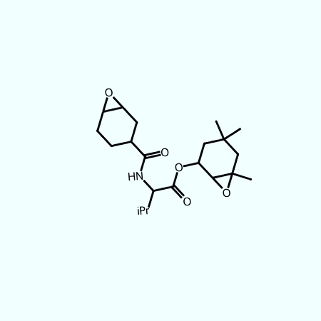 CC(C)C(NC(=O)C1CCC2OC2C1)C(=O)OC1CC(C)(C)CC2(C)OC12